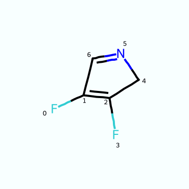 FC1=C(F)CN=C1